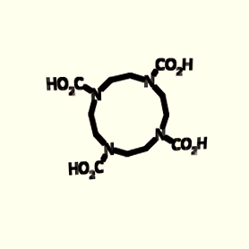 O=C(O)N1CCN(C(=O)O)CCN(C(=O)O)CCN(C(=O)O)CC1